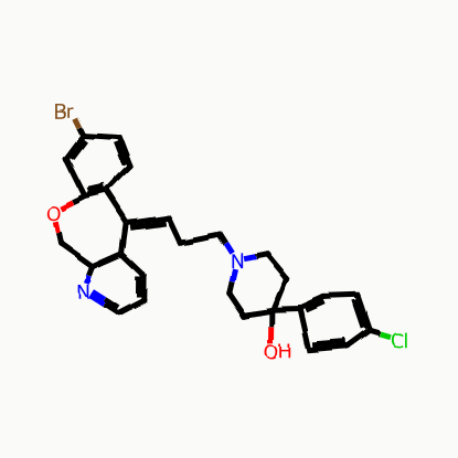 OC1(c2ccc(Cl)cc2)CCN(CCC=C2c3ccc(Br)cc3OCC3N=CC=CC23)CC1